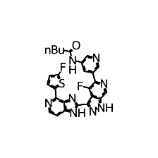 CCCCC(=O)Nc1cncc(-c2ncc3[nH]nc(-c4nc5c(-c6ccc(F)s6)nccc5[nH]4)c3c2F)c1